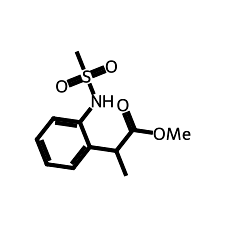 COC(=O)C(C)c1ccccc1NS(C)(=O)=O